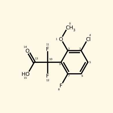 COc1c(Cl)ccc(F)c1C(F)(F)C(=O)O